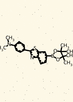 CN(C)c1ccc(-c2nc3ccc(B4OC(C)(C)C(C)(C)O4)cc3s2)cc1